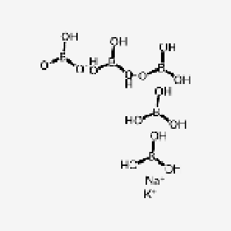 OB(O)O.OB(O)O.OB(O)O.OB(O)O.[K+].[Na+].[O-]B([O-])O